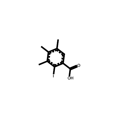 Cc1cc(C(=O)O)c(I)c(C)c1C